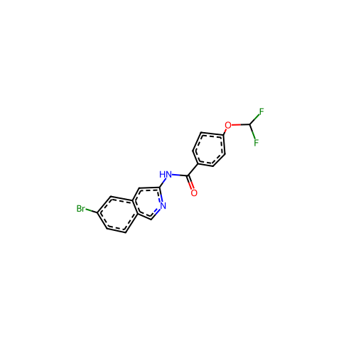 O=C(Nc1cc2cc(Br)ccc2cn1)c1ccc(OC(F)F)cc1